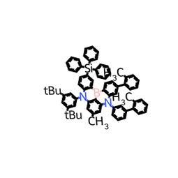 Cc1cc2c3c(c1)N(c1cccc(-c4ccccc4C)c1)c1cc(-c4ccccc4C)ccc1B3c1cc([Si](c3ccccc3)(c3ccccc3)c3ccccc3)ccc1N2c1cc(C(C)(C)C)cc(C(C)(C)C)c1